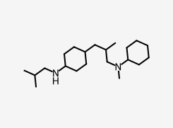 CC(C)CNC1CCC(CC(C)CN(C)C2CCCCC2)CC1